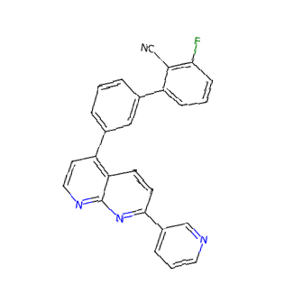 N#Cc1c(F)cccc1-c1cccc(-c2ccnc3nc(-c4cccnc4)ccc23)c1